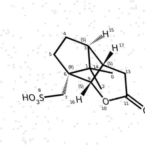 CC1(C)[C@H]2CC[C@]1(CS(=O)(=O)O)[C@H]1OC(=O)C[C@@H]21